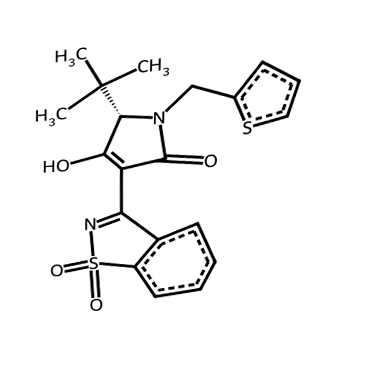 CC(C)(C)[C@H]1C(O)=C(C2=NS(=O)(=O)c3ccccc32)C(=O)N1Cc1cccs1